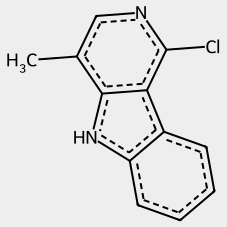 Cc1cnc(Cl)c2c1[nH]c1ccccc12